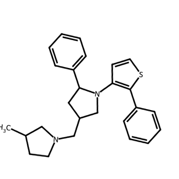 CC1CCN(CC2CC(c3ccccc3)N(c3ccsc3-c3ccccc3)C2)C1